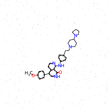 COc1ccc(-c2c[nH]c(=O)c3c(Nc4ccc(CCN5CCC(N6CCCC6)CC5)cc4)nccc23)cc1